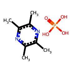 Cc1nc(C)c(C)nc1C.O=P(O)(O)O